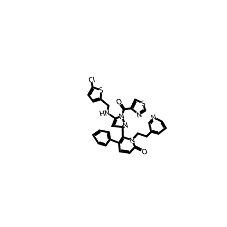 O=C(c1cscn1)n1nc(-c2c(-c3ccccc3)ccc(=O)n2CCc2cccnc2)cc1NCc1ccc(Cl)s1